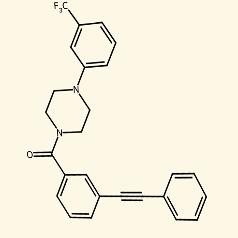 O=C(c1cccc(C#Cc2ccccc2)c1)N1CCN(c2cccc(C(F)(F)F)c2)CC1